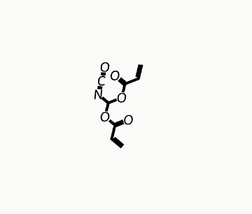 C=CC(=O)OC(N=C=O)OC(=O)C=C